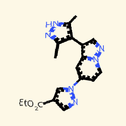 CCOC(=O)c1cnn(-c2ccn3ncc(-c4c(C)n[nH]c4C)c3c2)c1